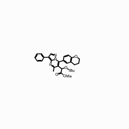 COC(=O)C(OC(C)(C)C)c1c(C)nc2c(-c3ccccc3)cnn2c1-c1ccc2c(c1)CCCO2